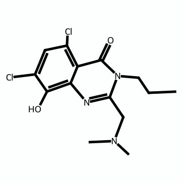 CCCn1c(CN(C)C)nc2c(O)c(Cl)cc(Cl)c2c1=O